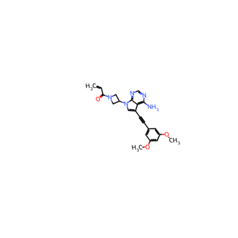 C=CC(=O)N1CC(n2cc(C#Cc3cc(OC)cc(OC)c3)c3c(N)ncnc32)C1